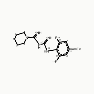 N=C(NC(=N)N1CCCCC1)Nc1c(F)cc(F)cc1F